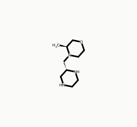 C[C@H]1COCCN1C[C@H]1CNCCN1